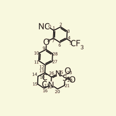 N#Cc1ccc(C(F)(F)F)cc1Oc1ccc(C23CCC(CC2)N2CCS(=O)(=O)N=C23)cc1